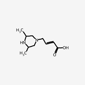 CC1CN(CC=CC(=O)O)CC(C)N1